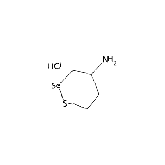 Cl.NC1CCS[Se]C1